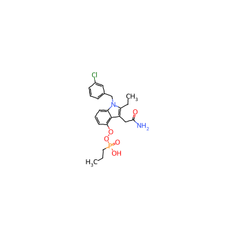 CCCP(=O)(O)OOc1cccc2c1c(CC(N)=O)c(CC)n2Cc1cccc(Cl)c1